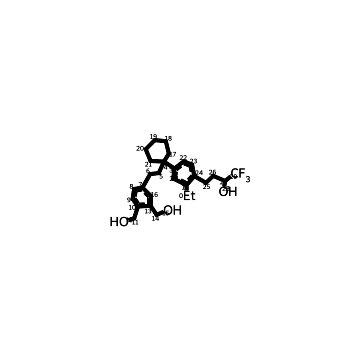 CCc1cc(C2(CCc3ccc(CO)c(CO)c3)CCCCC2)ccc1CCC(O)C(F)(F)F